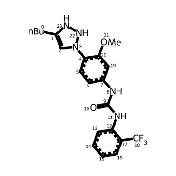 CCCCC1=CN(c2ccc(NC(=O)Nc3ccccc3C(F)(F)F)cc2OC)NN1